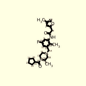 Cc1cc(CC(=O)Nc2cc(F)cc(CN3CCN(C(=O)C4CCCC4)[C@@H](C)C3)c2C)on1